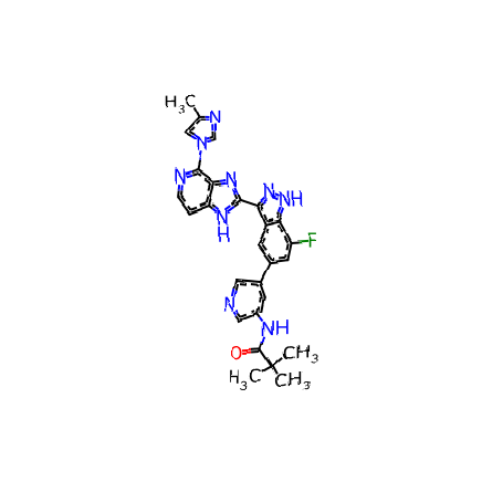 Cc1cn(-c2nccc3[nH]c(-c4n[nH]c5c(F)cc(-c6cncc(NC(=O)C(C)(C)C)c6)cc45)nc23)cn1